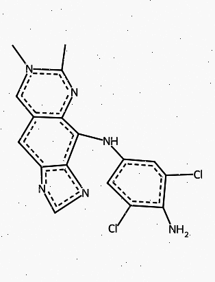 Cc1nc2c(Nc3cc(Cl)c(N)c(Cl)c3)c3ncnc3cc2cn1C